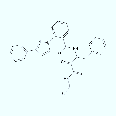 CCONC(=O)C(=O)C(Cc1ccccc1)NC(=O)c1cccnc1-n1ccc(-c2ccccc2)n1